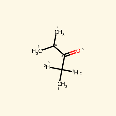 [2H]C([2H])(C)C(=O)C(C)C